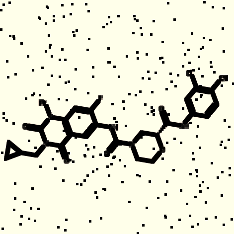 CC(C)n1c(=O)n(CC2CC2)c(=O)c2cc(NC(=O)N3CCO[C@@H](C(=O)Nc4ccc(C#N)c(Cl)c4)C3)c(F)cc21